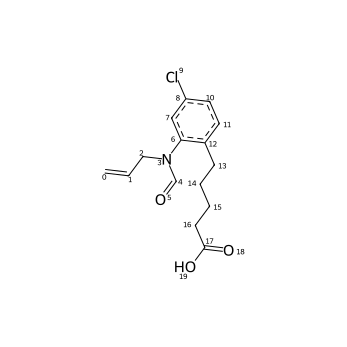 C=CCN(C=O)c1cc(Cl)ccc1CCCCC(=O)O